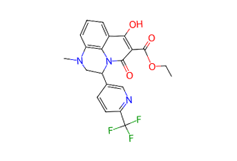 CCOC(=O)c1c(O)c2cccc3c2n(c1=O)C(c1ccc(C(F)(F)F)nc1)CN3C